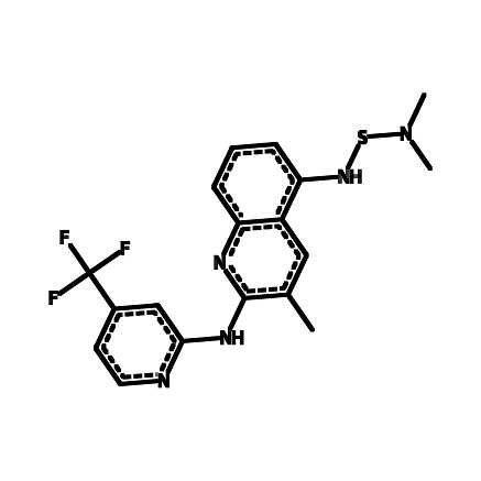 Cc1cc2c(NSN(C)C)cccc2nc1Nc1cc(C(F)(F)F)ccn1